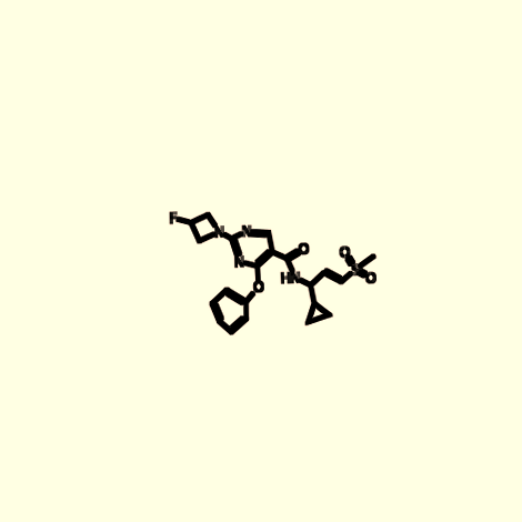 CS(=O)(=O)C=CC(NC(=O)c1cnc(N2CC(F)C2)nc1Oc1ccccc1)C1CC1